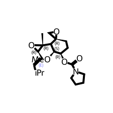 CO[C@H]1C([C@@]2(C)O[C@@H]2/C=C/C(C)C)[C@]2(CC[C@H]1OC(=O)N1CCCC1)CO2